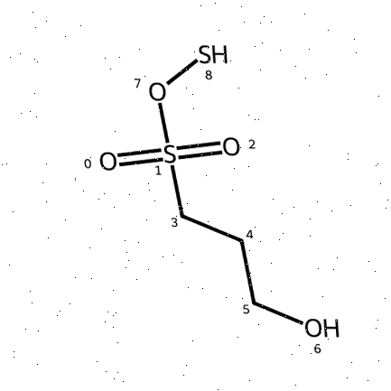 O=S(=O)(CCCO)OS